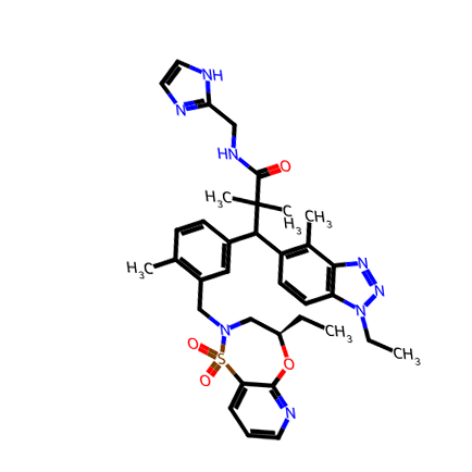 CC[C@@H]1CN(Cc2cc(C(c3ccc4c(nnn4CC)c3C)C(C)(C)C(=O)NCc3ncc[nH]3)ccc2C)S(=O)(=O)c2cccnc2O1